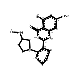 CCNC1CCN(c2ncccc2-c2nc3cc(OC)cc(CC)c3c(=O)o2)C1